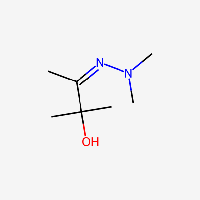 CC(=NN(C)C)C(C)(C)O